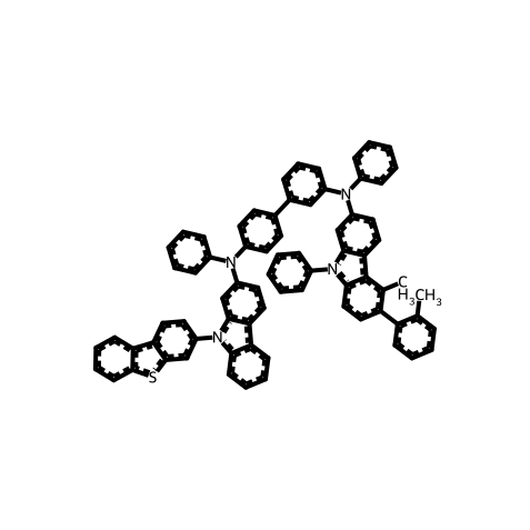 Cc1ccccc1-c1ccc2c(c1C)c1ccc(N(c3ccccc3)c3cccc(-c4ccc(N(c5ccccc5)c5ccc6c7ccccc7n(-c7ccc8c(c7)sc7ccccc78)c6c5)cc4)c3)cc1n2-c1ccccc1